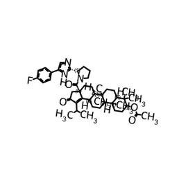 CC(=O)O[C@H]1CC[C@]2(C)[C@H]3CC[C@@H]4C5=C(C(C)C)C(=O)C[C@]5(C(=O)N5CCC[C@H]5c5ncc(-c6ccc(F)cc6)[nH]5)CC[C@@]4(C)[C@]3(C)CC[C@H]2C1(C)C